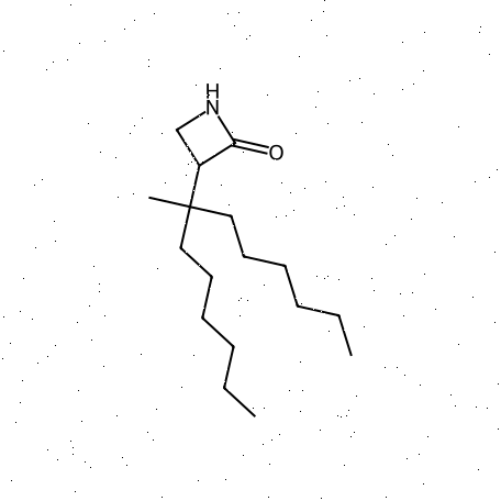 CCCCCCC(C)(CCCCCC)C1CNC1=O